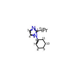 CC(C)c1nccn1C1=CCCCC1